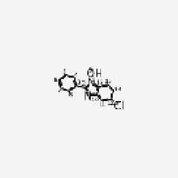 On1c(-c2ccccc2)nc2cc(Cl)ccc21